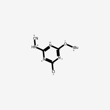 CC(C)(C)Oc1nc(Cl)nc(NC#N)n1